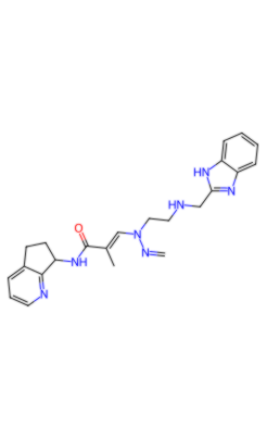 C=NN(/C=C(\C)C(=O)NC1CCc2cccnc21)CCNCc1nc2ccccc2[nH]1